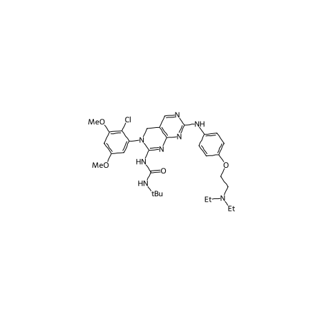 CCN(CC)CCOc1ccc(Nc2ncc3c(n2)N=C(NC(=O)NC(C)(C)C)N(c2cc(OC)cc(OC)c2Cl)C3)cc1